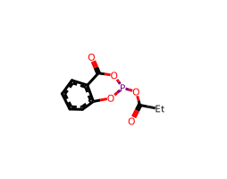 CCC(=O)OP1OC(=O)c2ccccc2O1